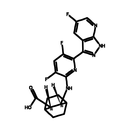 O=C(O)[C@H]1C2CCC(CC2)[C@@H]1Nc1nc(-c2n[nH]c3ncc(F)cc23)c(F)cc1F